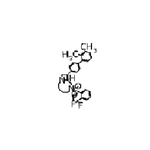 Cc1cccc(-c2ccc([C@@H]3CN4CCCCN(S(=O)(=O)c5ccccc5C(F)(F)F)C[C@@H]34)cc2)c1C